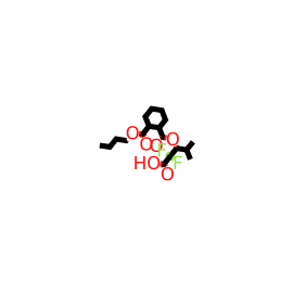 CCCCOC(=O)C1CCCCC1C(=O)OC(C(C)C)C(F)(F)C(=O)O